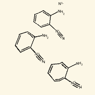 N#[N+]c1ccccc1N.N#[N+]c1ccccc1N.N#[N+]c1ccccc1N.[N-3]